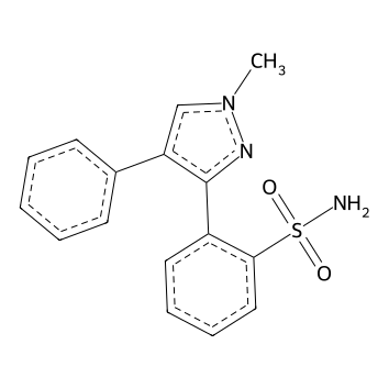 Cn1cc(-c2ccccc2)c(-c2ccccc2S(N)(=O)=O)n1